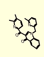 Cc1cccc(Cn2cc(C(=O)c3ccc(C)c(C)n3)c(=O)c3ccccc32)n1